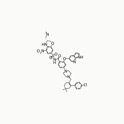 C=NC[C@@H]1COc2cc(S(=O)(=O)NC(=O)c3ccc(N4CCN(CC5=C(c6ccc(Cl)cc6)CC(C)(C)CC5)CC4)cc3Oc3cnc4[nH]ccc4c3)cc([N+](=O)[O-])c2N1